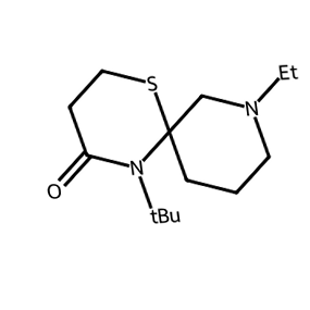 CCN1CCCC2(C1)SCCC(=O)N2C(C)(C)C